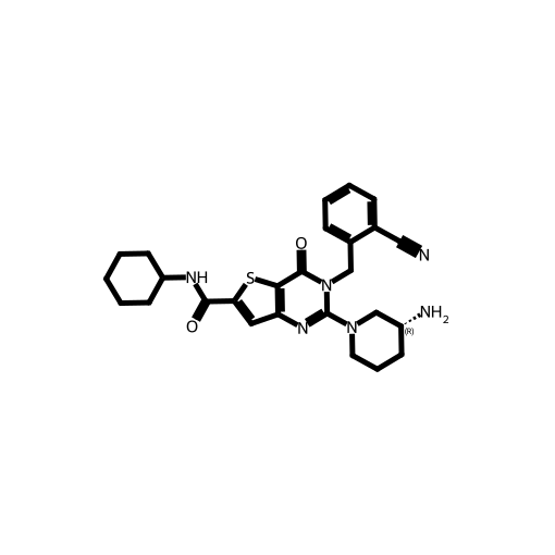 N#Cc1ccccc1Cn1c(N2CCC[C@@H](N)C2)nc2cc(C(=O)NC3CCCCC3)sc2c1=O